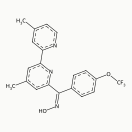 Cc1ccnc(-c2cc(C)cc(/C(=N\O)c3ccc(OC(F)(F)F)cc3)n2)c1